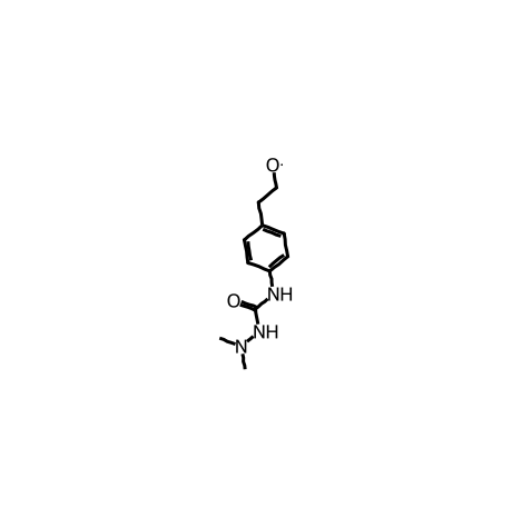 CN(C)NC(=O)Nc1ccc(CC[O])cc1